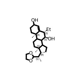 CC[C@H]1C2=CC(O)CC[C@]2(C)C2CC[C@@]3(C)C(CC[C@@H]3[C@H](C)C3OCCO3)C2[C@@H]1O